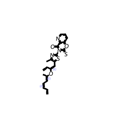 C=C/C=C\C=C(/C)O/C(C=C)=C/c1sc(-n2c(=S)oc3cccnc3c2=O)nc1C